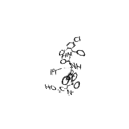 CC(C)C[C@H](NC(=O)CNC(=O)c1cc(Cl)ccc1Cl)B1OC(=O)C(C(C(=O)O)N(C)C)O1